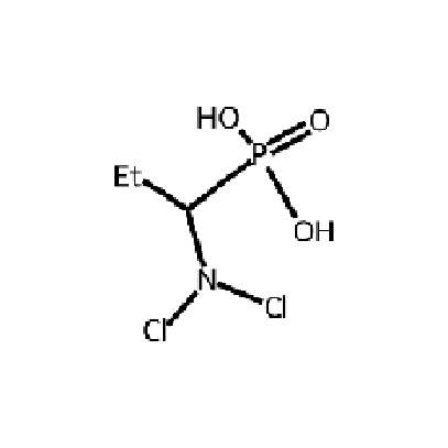 CCC(N(Cl)Cl)P(=O)(O)O